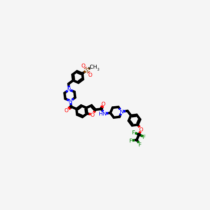 CS(=O)(=O)c1ccc(CN2CCN(C(=O)c3ccc4oc(C(=O)NC5CCN(Cc6ccc(OC(F)(F)C(F)F)cc6)CC5)cc4c3)CC2)cc1